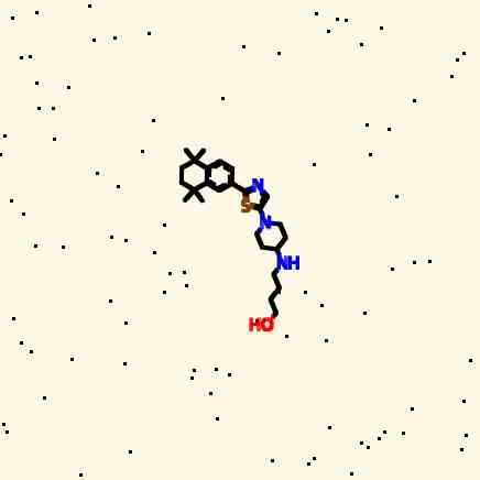 CC1(C)CCC(C)(C)c2cc(-c3ncc(N4CCC(NCCCCO)CC4)s3)ccc21